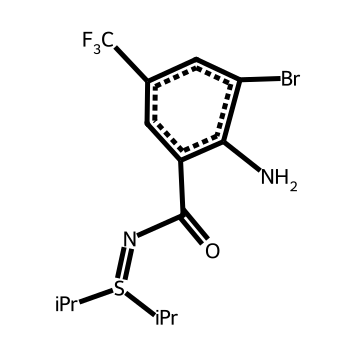 CC(C)S(=NC(=O)c1cc(C(F)(F)F)cc(Br)c1N)C(C)C